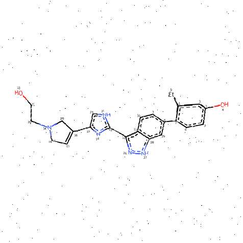 CCc1cc(O)ccc1-c1ccc2c(-c3nc(C4=CCN(CCO)C4)c[nH]3)n[nH]c2c1